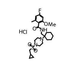 COc1cc(F)cc(C)c1C(=O)NCC1(N2CCN(S(=O)(=O)CC3CC3)CC2)CCCCC1.Cl